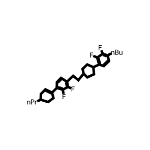 CCCCc1ccc(C2CCC(CCc3ccc(C4=CCC(CCC)CC4)c(F)c3F)CC2)c(F)c1F